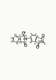 CN1C(=O)c2ccc(N3C(=O)C4C5C=CC(C5)C4C3=O)cc2C1=O